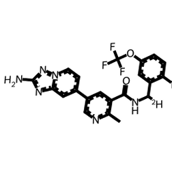 [2H]C(NC(=O)c1cc(-c2ccn3nc(N)nc3c2)cnc1C)c1cc(OC(F)(F)F)ccc1F